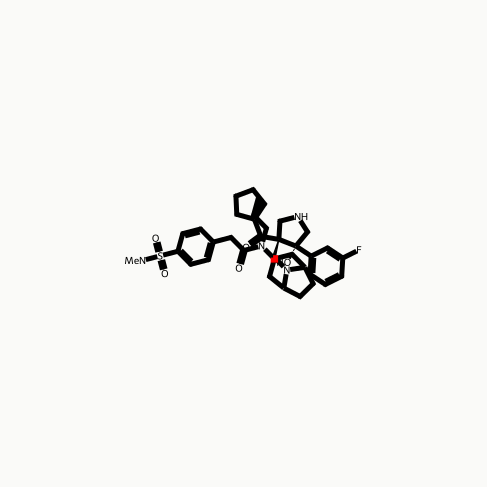 C=CCN(C(=O)Cc1ccc(S(=O)(=O)NC)cc1)C1CC2CCC(C1)N2C[C@@]1(C(=O)C2CCCC2)CNC[C@@]1(O)c1cccc(F)c1